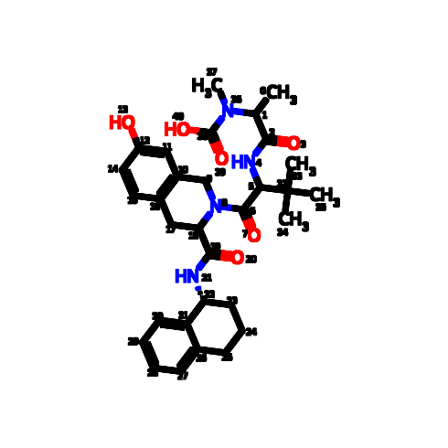 CC(C(=O)NC(C(=O)N1Cc2cc(O)ccc2CC1C(=O)N[C@@H]1CCCc2ccccc21)C(C)(C)C)N(C)C(=O)O